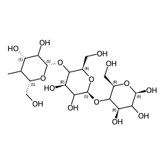 CC1[C@H](O)C(O)[C@H](OC2[C@H](O)C(O)[C@H](OC3[C@H](O)C(O)[C@H](O)O[C@@H]3CO)O[C@@H]2CO)O[C@@H]1CO